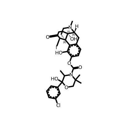 CC1N(C(=O)Oc2ccc3c(c2O)[C@]24CCN(C)[C@H](C3)[C@]2(O)CCC(=O)C4I)C(C)(C)COC1(O)c1cccc(Cl)c1